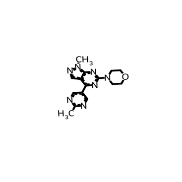 Cc1ncc(-c2nc(N3CCOCC3)nc3c2cnn3C)cn1